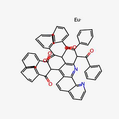 O=C(c1ccccc1)C(C(=O)c1ccccc1)c1nc2c(ccc3cccnc32)c(C(C(=O)c2ccccc2)C(=O)c2ccccc2)c1C(C(=O)c1ccccc1)C(=O)c1ccccc1.[Eu]